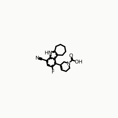 N#Cc1cc(F)c(C2=CCCN(C(=O)O)C2)c2c3c([nH]c12)CCCCC3